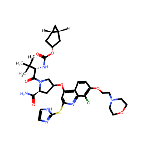 CC(C)(C)[C@H](NC(=O)O[C@@H]1C[C@@H]2C[C@@H]2C1)C(=O)N1CC(Oc2cc(Sc3ncc[nH]3)nc3c(Cl)c(OCCN4CCOCC4)ccc23)C[C@H]1C(N)=O